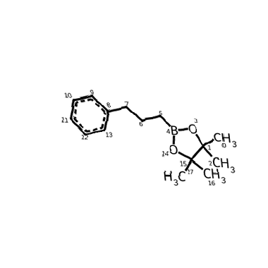 CC1(C)OB(CCCc2ccccc2)OC1(C)C